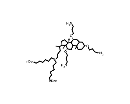 CCCCCCCCCCCCCCCCN(CCCCCCCCCCCCCCCC)CCC[C@@H](C)[C@H]1CC[C@H]2C3C(C[C@H](OCCCN)[C@]12C)C1(C)CC[C@@H](OCCCN)CC1C[C@H]3OCCCN